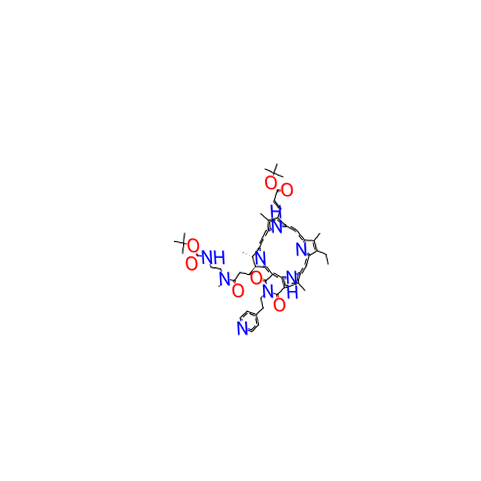 CCC1=C(C)c2cc3[nH]c(cc4nc(c5c6[nH]c(cc1n2)c(C)c6C(=O)N(CCc1ccncc1)C5=O)[C@@H](CCC(=O)N(C)CCNC(=O)OC(C)(C)C)[C@@H]4C)c(C)c3/C=C/C(=O)OC(C)(C)C